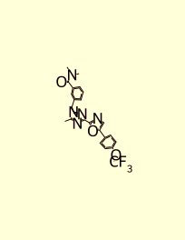 Cc1nc(-c2ncc(-c3ccc(OC(F)(F)F)cc3)o2)nn1Cc1cccc(C(=O)N(C)C)c1